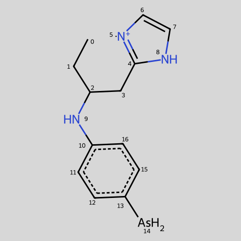 CCC(CC1=[N+]C=CN1)Nc1ccc([AsH2])cc1